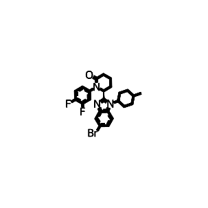 CC1CCC(n2c([C@@H]3CCCC(=O)N3c3ccc(F)c(F)c3)nc3cc(Br)ccc32)CC1